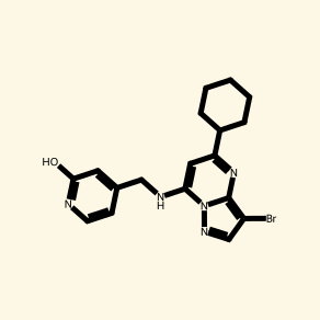 Oc1cc(CNc2cc(C3CCCCC3)nc3c(Br)cnn23)ccn1